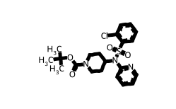 CC(C)(C)OC(=O)N1CCC(N(c2ccccn2)S(=O)(=O)c2ccccc2Cl)CC1